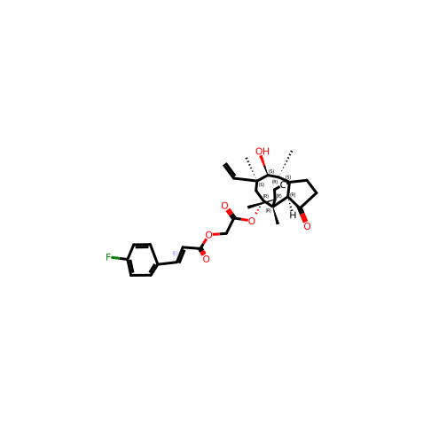 C=C[C@]1(C)C[C@@H](OC(=O)COC(=O)/C=C/c2ccc(F)cc2)[C@]2(C)[C@H](C)CC[C@]3(CCC(=O)[C@H]32)[C@@H](C)[C@@H]1O